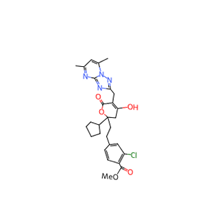 COC(=O)c1ccc(CCC2(C3CCCC3)CC(O)=C(Cc3nc4nc(C)cc(C)n4n3)C(=O)O2)cc1Cl